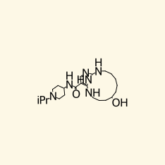 CC(C)N1CCC(NC(=O)C2=C3NCCCC(O)CCCCCNC(N=C2)N3)CC1